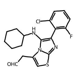 O=CCc1csc2nc(-c3c(F)cccc3Cl)c(NC3CCCCC3)n12